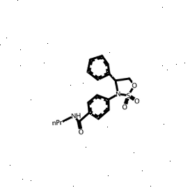 CCCNC(=O)c1ccc(N2C(c3ccccc3)COS2(=O)=O)cc1